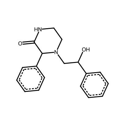 O=C1NCCN(CC(O)c2ccccc2)C1c1ccccc1